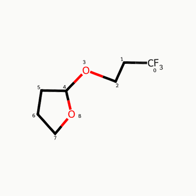 FC(F)(F)CCOC1CCCO1